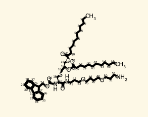 CCCCCCCCCCCC(=O)OC[C@H](CSC[C@H](NC(=O)OCC1c2ccccc2-c2ccccc21)C(=O)NCCCOCCCCOCCCN)OC(=O)CCCCCCCCCCC